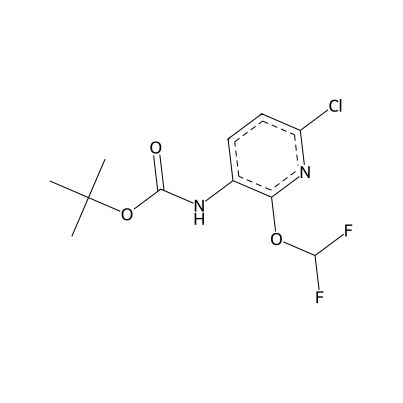 CC(C)(C)OC(=O)Nc1ccc(Cl)nc1OC(F)F